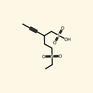 CC#CC(CCS(=O)(=O)CC)CS(=O)(=O)O